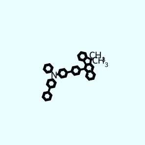 CC1(C)c2ccccc2-c2c1cc1ccccc1c2-c1ccc(-c2ccc(N(c3ccccc3)c3ccc(-c4ccccc4)cc3)cc2)cc1